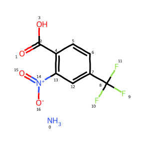 N.O=C(O)c1ccc(C(F)(F)F)cc1[N+](=O)[O-]